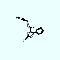 C#CCOC(=O)C1OC(=O)OC1c1ccccc1